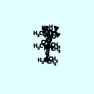 CC(C)c1nn(COCC[Si](C)(C)C)c(C(C)C)c1-c1ccc(NC(=O)C(NC(=O)c2ccnn2C(C)C)C(C2CC2)C2CC2)cc1